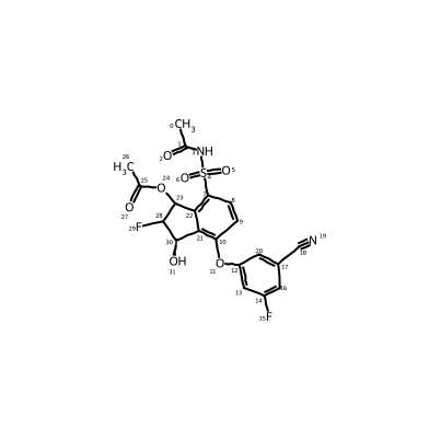 CC(=O)NS(=O)(=O)c1ccc(Oc2cc(F)cc(C#N)c2)c2c1C(OC(C)=O)C(F)[C@@H]2O